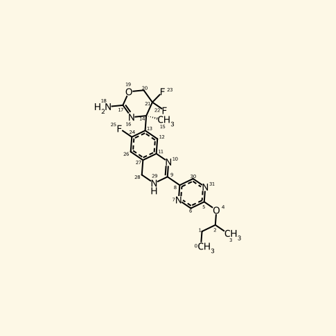 CCC(C)Oc1cnc(C2=Nc3cc([C@@]4(C)N=C(N)OCC4(F)F)c(F)cc3CN2)cn1